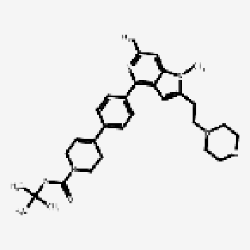 Cc1cc2c(cc(CCN3CCOCC3)n2C)c(-c2ccc(C3=CCN(C(=O)OC(C)(C)C)CC3)cc2)n1